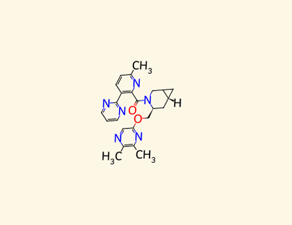 Cc1ccc(-c2ncccn2)c(C(=O)N2CC3C[C@@H]3C[C@H]2COc2cnc(C)c(C)n2)n1